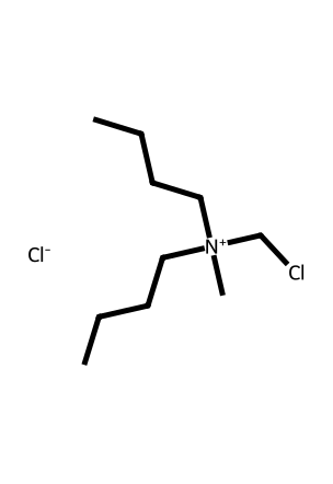 CCCC[N+](C)(CCl)CCCC.[Cl-]